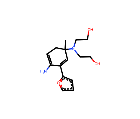 CC1(N(CCO)CCO)C=C(c2ccco2)C(N)=CC1